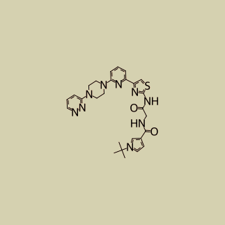 CC(C)(C)n1ccc(C(=O)NCC(=O)Nc2nc(-c3cccc(N4CCN(c5cccnn5)CC4)n3)cs2)c1